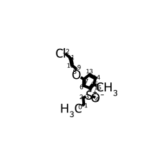 CCC[S+]([O-])c1cc(OCC=CCl)ccc1C